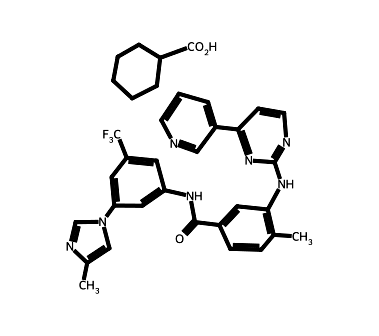 Cc1cn(-c2cc(NC(=O)c3ccc(C)c(Nc4nccc(-c5cccnc5)n4)c3)cc(C(F)(F)F)c2)cn1.O=C(O)C1CCCCC1